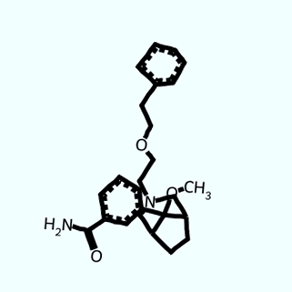 COC1(c2cccc(C(N)=O)c2)C2CCC1CN(CCOCCc1ccccc1)C2